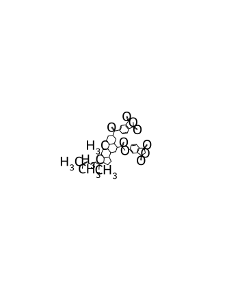 CC(C)=CCCC(C)C1CCC2C3CC(C(=O)Oc4ccc5c(c4)C(=O)OC5=O)C4CC(C(=O)c5ccc6c(c5)C(=O)OC6=O)CCC4(C)C3CCC12C